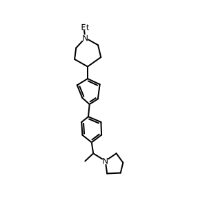 CCN1CCC(c2ccc(-c3ccc(C(C)N4CCCC4)cc3)cc2)CC1